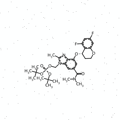 Cc1nc2c(O[C@H]3CCOc4cc(F)cc(F)c43)cc(C(=O)N(C)C)cc2n1COP(=O)(OC(C)(C)C)OC(C)(C)C